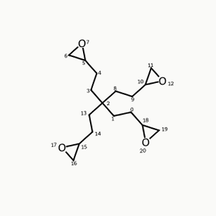 C(CC(CCC1CO1)(CCC1CO1)CCC1CO1)C1CO1